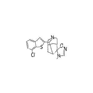 CN1C=NOC12C1CC3CC2C(c2cc4cccc(Cl)c4s2)N(C3)C1